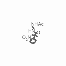 CC(=O)NCCNC(=O)C(C)(C)c1ccccc1[N+](=O)[O-]